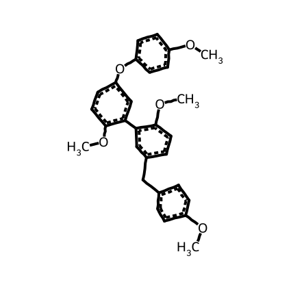 COc1ccc(Cc2ccc(OC)c(-c3cc(Oc4ccc(OC)cc4)ccc3OC)c2)cc1